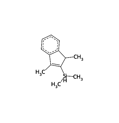 CC1=C([SiH](C)C)C(C)c2ccccc21